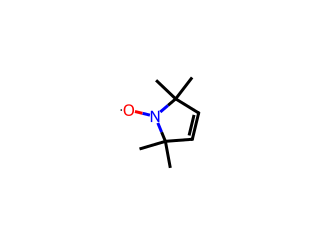 CC1(C)C=CC(C)(C)N1[O]